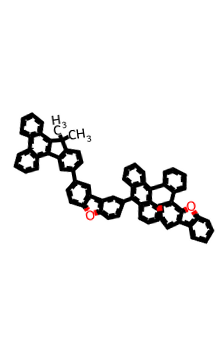 CC1(C)c2ccc(-c3ccc4oc5ccc(-c6c7ccccc7c(-c7ccccc7-c7cccc8c7oc7ccccc78)c7ccccc67)cc5c4c3)cc2-c2c1c1ccccc1c1ccccc21